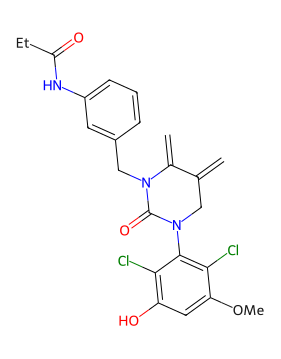 C=C1CN(c2c(Cl)c(O)cc(OC)c2Cl)C(=O)N(Cc2cccc(NC(=O)CC)c2)C1=C